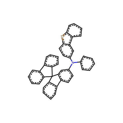 c1ccc(N(c2ccc3c(c2)C2(c4ccccc4-c4ccccc42)c2ccccc2-3)c2ccc3sc4ccccc4c3c2)cc1